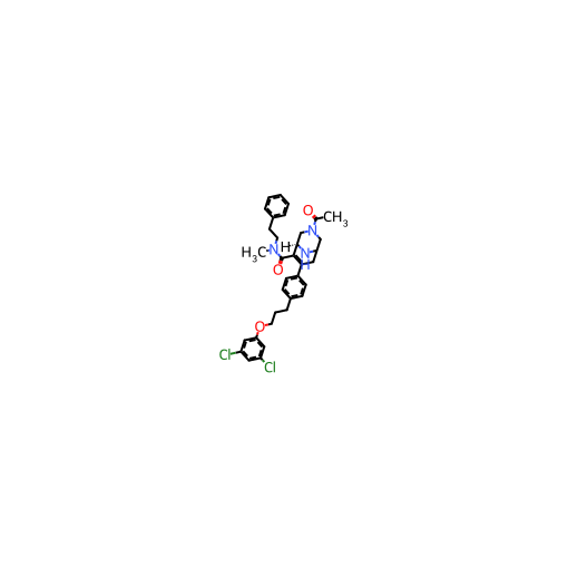 CC(=O)N1CC2CC(c3ccc(CCCOc4cc(Cl)cc(Cl)c4)cc3)=C(C(=O)N(C)CCc3ccccc3)[C@@H](C1)N2